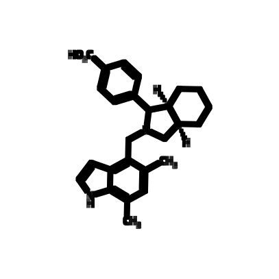 Cc1cc(C)c2[nH]ccc2c1CN1C[C@@H]2CCCC[C@@H]2C1c1ccc(C(=O)O)cc1